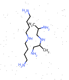 CC(N)CNC(C)CN.NCCCCNCCCCN